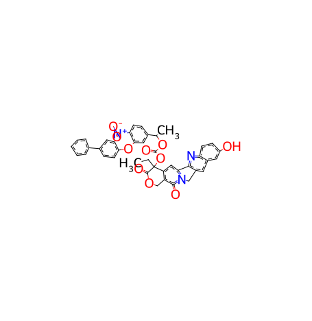 CCC1(OC(=O)OC(C)c2ccc([N+](=O)[O-])c(Oc3ccc(-c4ccccc4)cc3)c2)C(=O)OCc2c1cc1n(c2=O)Cc2cc3cc(O)ccc3nc2-1